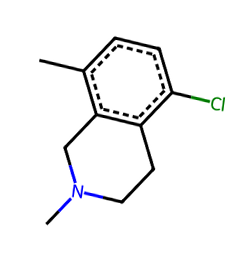 Cc1ccc(Cl)c2c1CN(C)CC2